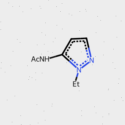 CCn1nccc1NC(C)=O